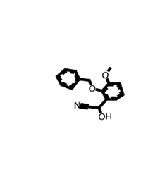 COc1cccc(C(O)C#N)c1OCc1ccccc1